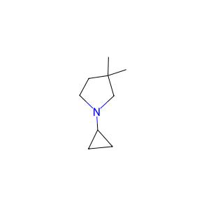 CC1(C)CCN(C2CC2)C1